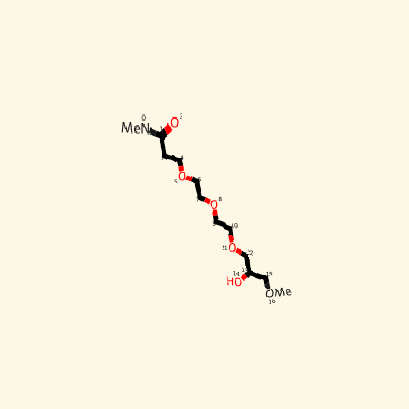 CNC(=O)CCOCCOCCOCC(O)COC